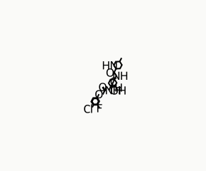 CC1CCC(C(=O)NC23CCC(NC(=O)COc4ccc(Cl)c(F)c4)(CC2)[C@@H](O)C3)NC1